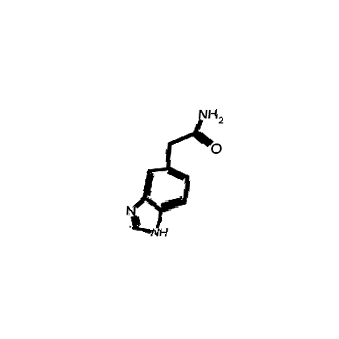 NC(=O)Cc1ccc2[nH][c]nc2c1